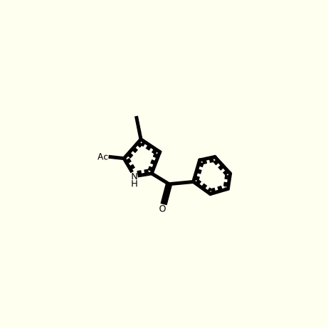 CC(=O)c1[nH]c(C(=O)c2ccccc2)cc1C